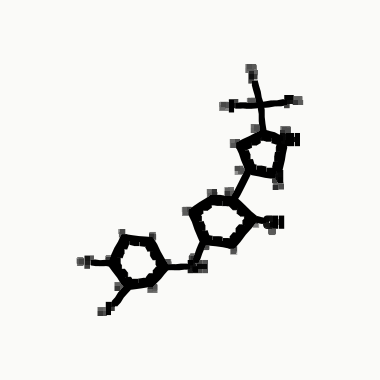 Oc1cc(Nc2ccc(F)c(F)c2)ccc1-c1cc(C(F)(F)F)[nH]n1